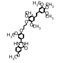 COc1ccc2c(c1)C(=O)NC(c1ccc(OCCCOc3c(OC)cc(/C=C/c4cc(OC)c(OC)c(OC)c4)cc3OC)c(OC)c1)N2